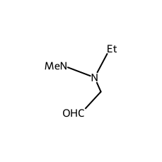 CCN(CC=O)NC